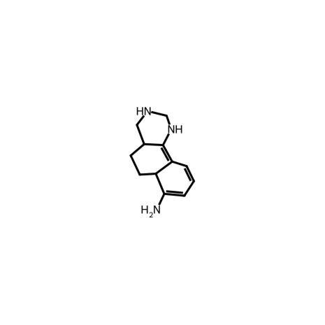 NC1=CC=CC2=C3NCNCC3CCC12